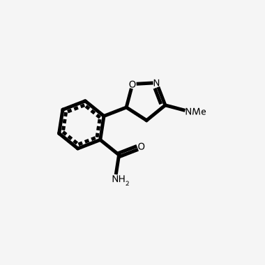 CNC1=NOC(c2ccccc2C(N)=O)C1